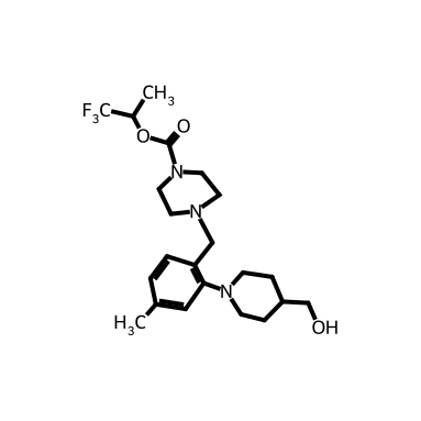 Cc1ccc(CN2CCN(C(=O)OC(C)C(F)(F)F)CC2)c(N2CCC(CO)CC2)c1